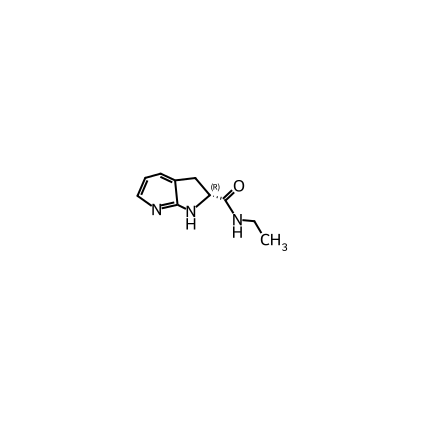 CCNC(=O)[C@H]1Cc2cccnc2N1